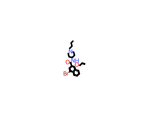 C=CCOc1c(C(=O)NC2CCN(CCCC)CC2)cc(Br)c2ccccc12